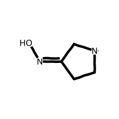 O/N=C1/CC[N]C1